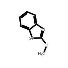 COc1nc2ccccc2[se]1